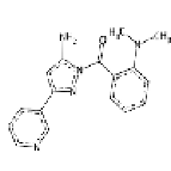 CN(C)c1ccccc1C(=O)n1nc(-c2cccnc2)cc1N